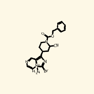 N#CC1CC(C2=C3C=NC=C[N+]3(N)C(Br)=N2)CCN1C(=O)OCc1ccccc1